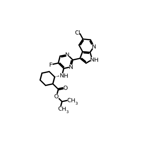 CC(C)OC(=O)C1CCCC[C@@H]1Nc1nc(-c2c[nH]c3ncc(Cl)cc23)ncc1F